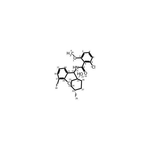 COc1cccc(Cl)c1C(=O)NC(c1cccc(F)c1Cl)[C@]1(O)CC[C@@H](F)CC1